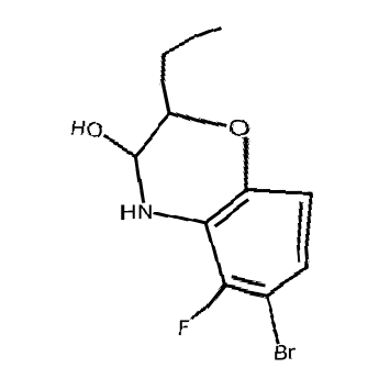 CCC1Oc2ccc(Br)c(F)c2NC1O